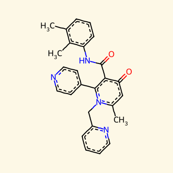 Cc1cccc(NC(=O)c2c(-c3ccncc3)n(Cc3ccccn3)c(C)cc2=O)c1C